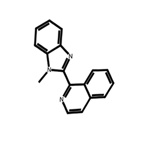 Cn1c(-c2nccc3ccccc23)nc2ccccc21